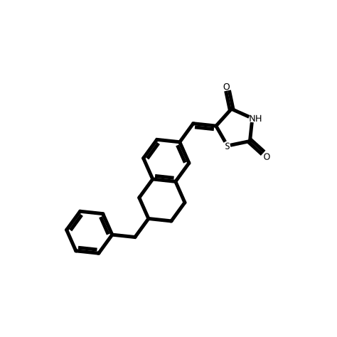 O=C1NC(=O)C(=Cc2ccc3c(c2)CCC(Cc2ccccc2)C3)S1